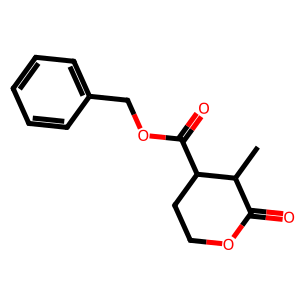 CC1C(=O)OCCC1C(=O)OCc1ccccc1